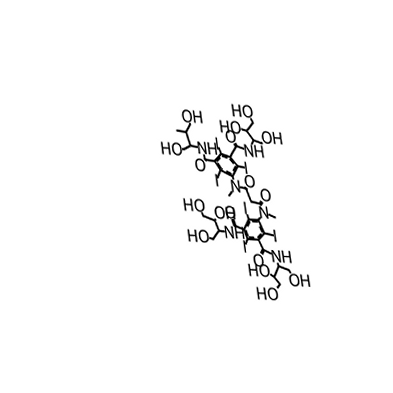 CC(CO)C(CO)NC(=O)c1c(I)c(C(=O)NC(CO)C(O)CO)c(I)c(N(C)C(=O)CC(=O)N(C)c2c(I)c(C(=O)NC(CO)C(O)CO)c(I)c(C(=O)NC(CO)C(O)CO)c2I)c1I